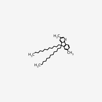 CCCCCCCCCCCCC1(CCCCCCCCCCCC)c2cc(C)ccc2-c2ncc(C)cc21